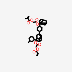 C=CC(=O)OCC(=O)OC1(C2CCCC(C)C2)C2CC3CC1CC(C1CCC(C4(OC(=O)COC(=O)C(=C)C)C5CC6CC(C5)CC4C6)CC1)(C3)C2